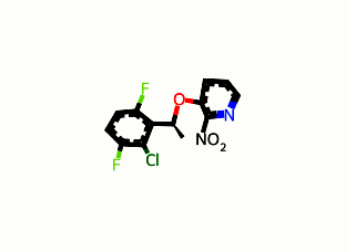 C[C@H](Oc1cccnc1[N+](=O)[O-])c1c(F)ccc(F)c1Cl